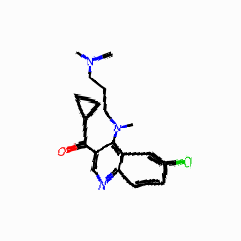 CN(C)CCCN(C)c1c(C(=O)C2CC2)cnc2ccc(Cl)cc12